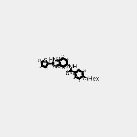 CCCCCCc1ccc(C(=O)Nc2ccc3[nH]c(-c4cccs4)nc3c2)cc1